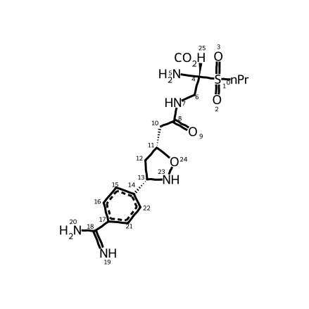 CCCS(=O)(=O)[C@@](N)(CNC(=O)C[C@H]1C[C@@H](c2ccc(C(=N)N)cc2)NO1)C(=O)O